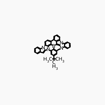 CC(C)(C)c1cc2c3c(c1)-n1c4ccccc4n4c5cccc6c5c(c14)B3c1c-6ccc3c1n-2c1cc2ccccc2n31